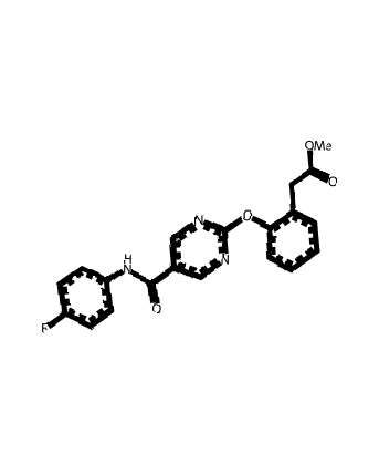 COC(=O)Cc1ccccc1Oc1ncc(C(=O)Nc2ccc(F)cc2)cn1